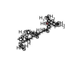 Cc1ccccc1OCCOc1cc(NC(=S)NC(CCCCNC(=O)CCCCC2SCC3NC(=O)NC32)C(=O)NCCCCCNC(=O)c2ccc(-c3c4cc(F)c(=[N+](C)C)cc-4oc4cc(N(C)C)ccc34)c(C(=O)O)c2)ccc1C